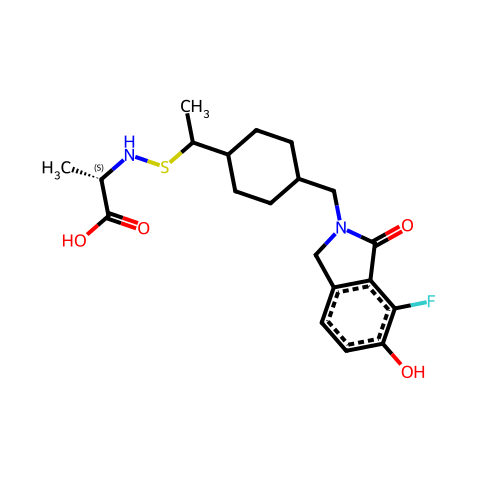 CC(SN[C@@H](C)C(=O)O)C1CCC(CN2Cc3ccc(O)c(F)c3C2=O)CC1